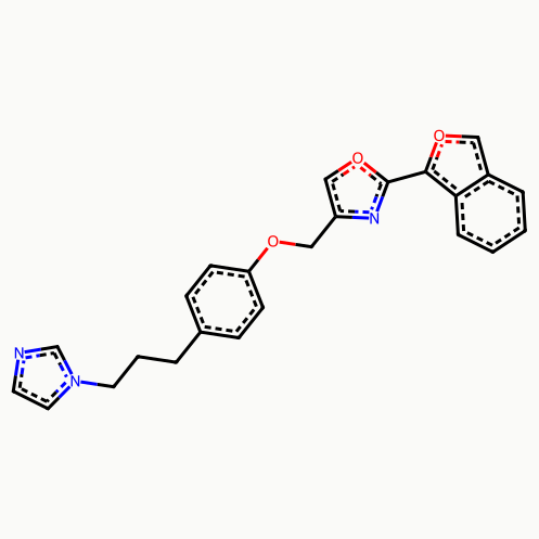 c1ccc2c(-c3nc(COc4ccc(CCCn5ccnc5)cc4)co3)occ2c1